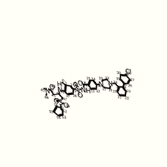 Cc1cc(S(=O)(=O)NC(=O)c2ccc(N3CCN(Cc4ccccc4-c4ccc(Cl)cc4)CC3)cc2)ccc1N[C@H](CC(=O)N(C)C)CS(=O)(=O)c1ccccc1